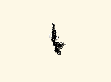 CCCCCc1ccc(CNC(=O)c2cccc(-c3ccc(C(Cc4ccc(Cl)cc4)NC(=O)C(=O)O)cc3)c2)cc1